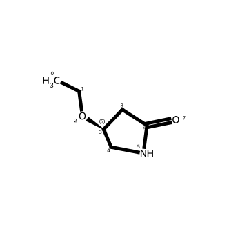 CCO[C@@H]1CNC(=O)C1